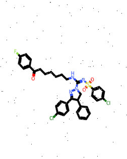 O=C(CCCCCCNC(=NS(=O)(=O)c1ccc(Cl)cc1)N1CC(c2ccccc2)C(c2ccc(Cl)cc2)=N1)c1ccc(F)cc1